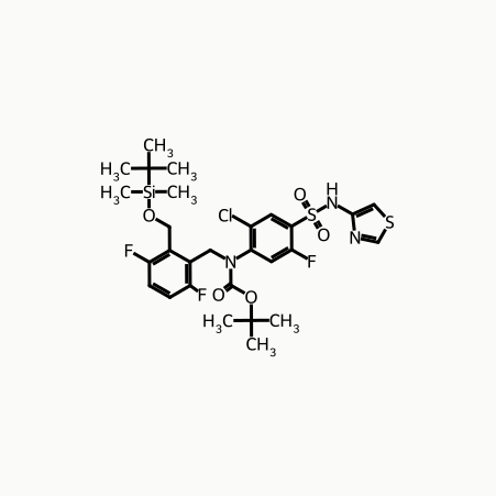 CC(C)(C)OC(=O)N(Cc1c(F)ccc(F)c1CO[Si](C)(C)C(C)(C)C)c1cc(F)c(S(=O)(=O)Nc2cscn2)cc1Cl